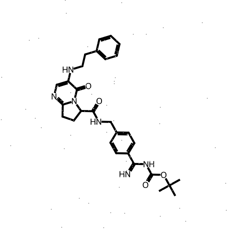 CC(C)(C)OC(=O)NC(=N)c1ccc(CNC(=O)C2CCc3ncc(NCCc4ccccc4)c(=O)n32)cc1